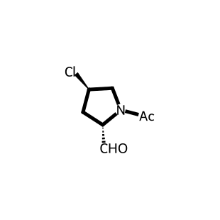 CC(=O)N1C[C@H](Cl)C[C@H]1C=O